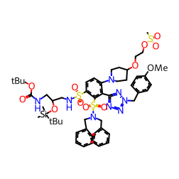 COc1ccc(Cn2nnc(-c3c(N4CCC(OCCOS(C)(=O)=O)CC4)ccc(S(=O)(=O)NCC(CNC(=O)OC(C)(C)C)O[Si](C)(C)C(C)(C)C)c3S(=O)(=O)N(Cc3ccccc3)Cc3ccccc3)n2)cc1